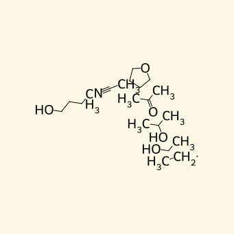 C1CCOC1.CC#N.CC(C)=O.CC(C)O.CCCCO.CCO.[CH2]C